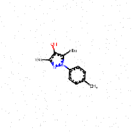 CCCCc1nn(-c2ccc(C)cc2)c(CCCC)c1O